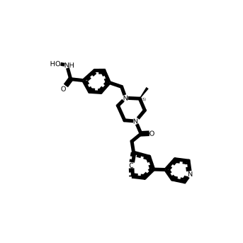 C[C@H]1CN(C(=O)Cc2cccc(-c3ccncc3)c2)CCN1Cc1ccc(C(=O)NO)cc1